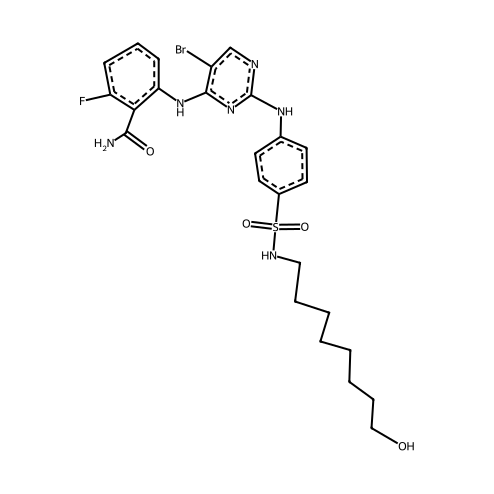 NC(=O)c1c(F)cccc1Nc1nc(Nc2ccc(S(=O)(=O)NCCCCCCCCO)cc2)ncc1Br